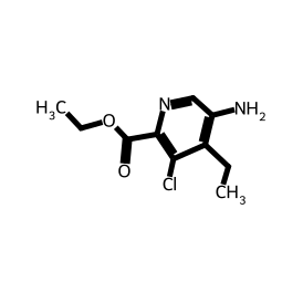 CCOC(=O)c1ncc(N)c(CC)c1Cl